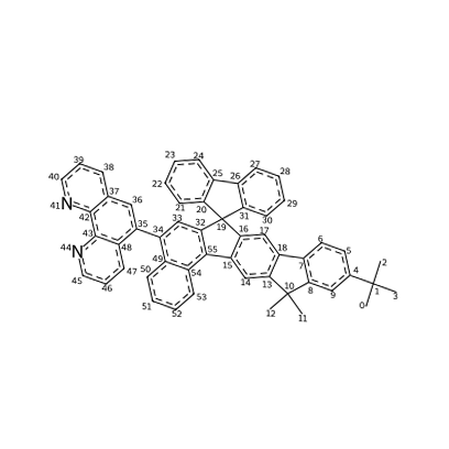 CC(C)(C)c1ccc2c(c1)C(C)(C)c1cc3c(cc1-2)C1(c2ccccc2-c2ccccc21)c1cc(-c2cc4cccnc4c4ncccc24)c2ccccc2c1-3